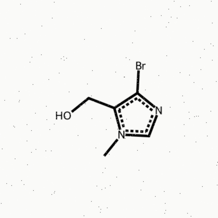 Cn1cnc(Br)c1CO